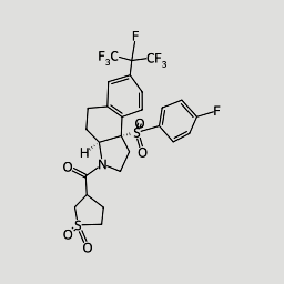 O=C(C1CCS(=O)(=O)C1)N1CC[C@]2(S(=O)(=O)c3ccc(F)cc3)c3ccc(C(F)(C(F)(F)F)C(F)(F)F)cc3CC[C@H]12